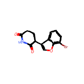 O=C1CCC(c2coc3c(Br)cccc23)C(=O)N1